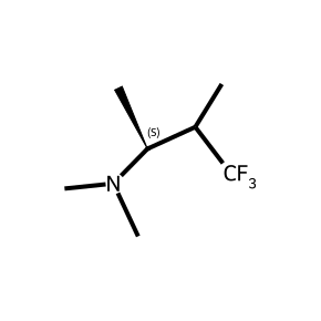 CC([C@H](C)N(C)C)C(F)(F)F